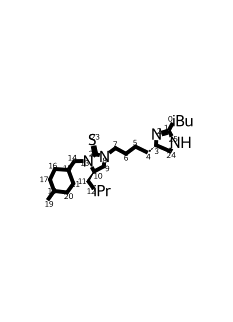 CCC(C)C1=N[C@@H](CCCCN2C[C@@H](CC(C)C)N(CC3CCC(C)CC3)C2=S)CN1